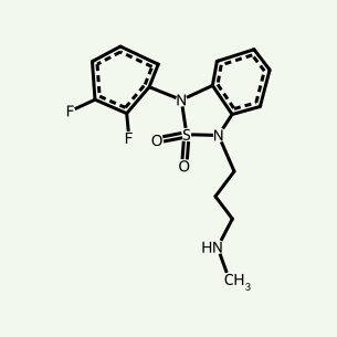 CNCCCN1c2ccccc2N(c2cccc(F)c2F)S1(=O)=O